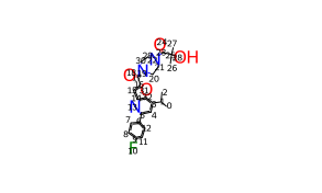 CC(C)c1cc(-c2ccc(F)cc2)nc2cc(C(=O)N3CCN(C(=O)C(C)(C)O)CC3)oc12